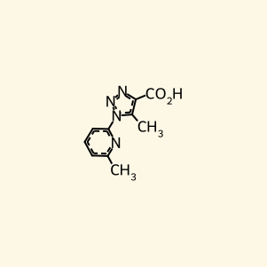 Cc1cccc(-n2nnc(C(=O)O)c2C)n1